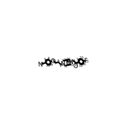 N#Cc1ccc(OCCCN2CC3CN(CC(=O)c4ccc(F)cc4)CC(C2)O3)cc1